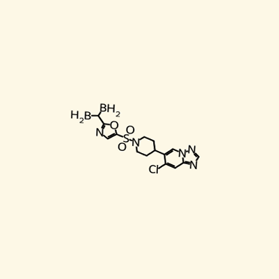 BC(B)c1ncc(S(=O)(=O)N2CCC(c3cn4ncnc4cc3Cl)CC2)o1